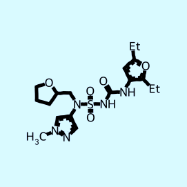 CCc1cc(NC(=O)NS(=O)(=O)N(CC2CCCO2)c2cnn(C)c2)c(CC)o1